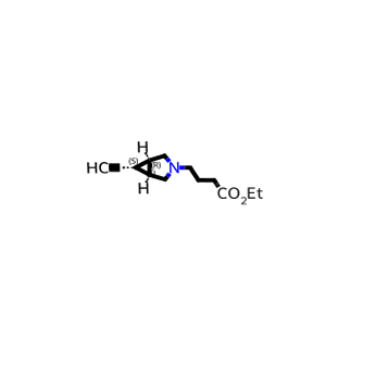 C#C[C@@H]1[C@H]2CN(CCCC(=O)OCC)C[C@@H]12